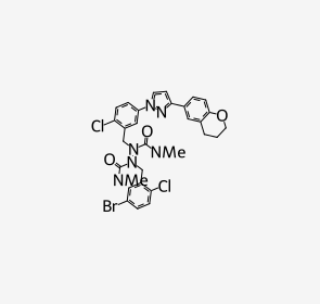 CNC(=O)N(Cc1cc(Br)ccc1Cl)N(Cc1cc(-n2ccc(-c3ccc4c(c3)CCCO4)n2)ccc1Cl)C(=O)NC